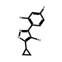 CC(=O)c1c(-c2ccc(F)cc2F)noc1C1CC1